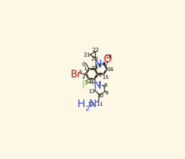 Cc1c(Br)c(F)c(N2CCC(CN)C2)c2ccc(=O)n(C3CC3)c12